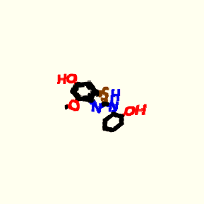 COc1cc(O)cc2sc(NC3CCCC[C@@H]3O)nc12